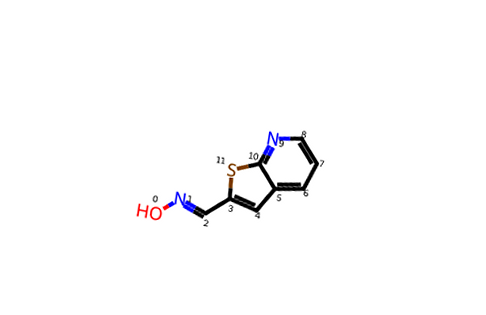 ON=Cc1cc2cccnc2s1